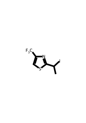 CC(I)c1nc(C(F)(F)F)cs1